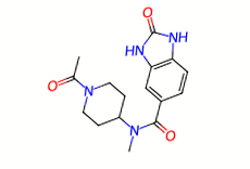 CC(=O)N1CCC(N(C)C(=O)c2ccc3[nH]c(=O)[nH]c3c2)CC1